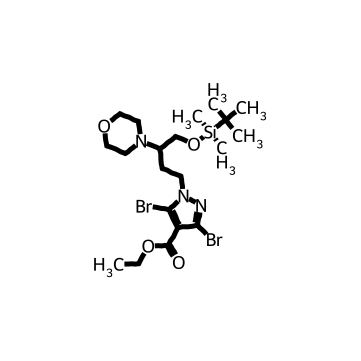 CCOC(=O)c1c(Br)nn(CCC(CO[Si](C)(C)C(C)(C)C)N2CCOCC2)c1Br